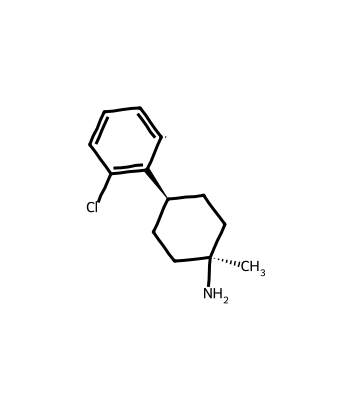 C[C@]1(N)CC[C@@H](c2[c]cccc2Cl)CC1